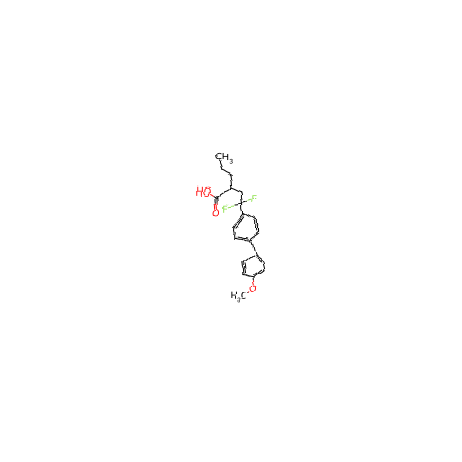 CCCC(CC(F)(F)c1ccc(-c2ccc(OC)cc2)cc1)C(=O)O